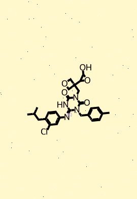 Cc1ccc(Cn2c(=O)n(CC3(C4OC4O)COC3)c(=O)[nH]/c2=N\c2ccc(CC(C)C)c(Cl)c2)cc1